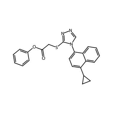 O=C(CSc1nncn1-c1ccc(C2CC2)c2ccccc12)Oc1ccccc1